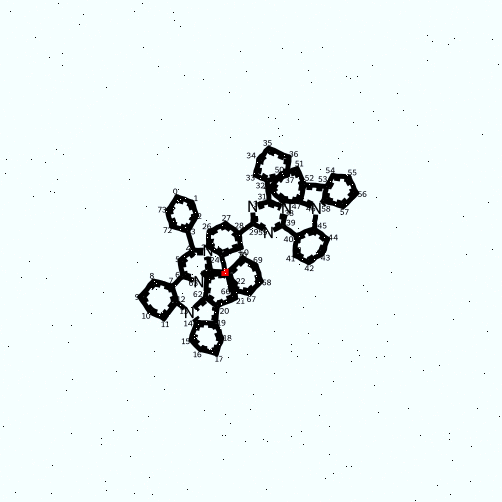 c1ccc(-c2cc(-c3ccccc3-n3c4ccccc4c4ccc(-c5cccc(-c6nc(-c7ccccc7)nc(-c7ccccc7-n7c8ccccc8c8ccccc87)n6)c5)cc43)nc(-c3ccccc3)n2)cc1